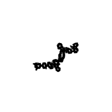 Cc1cc(C)cc(-c2ccc(-c3ccc(-n4c5ccccc5c5cc(-c6ccc7c(c6)c6ccccc6n7-c6ccc(-c7cccc8c7oc7ccccc78)cc6)ccc54)cc3)cc2)c1